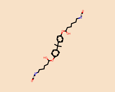 CC(C)(c1ccc(OC(O)CCCCCN=C=O)cc1)c1ccc(OC(O)CCCCCN=C=O)cc1